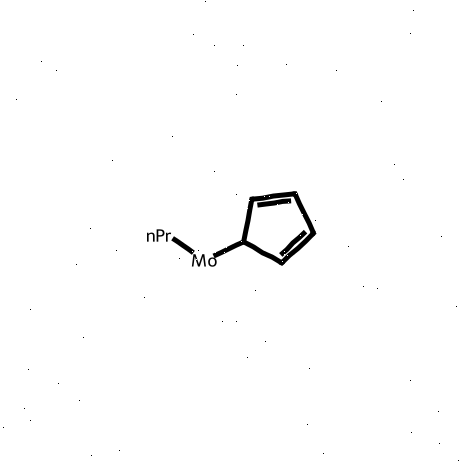 CC[CH2][Mo][CH]1C=CC=C1